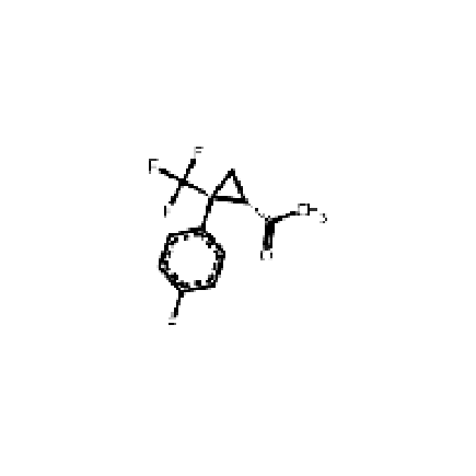 CC(=O)[C@H]1C[C@]1(c1ccc(F)cc1)C(F)(F)F